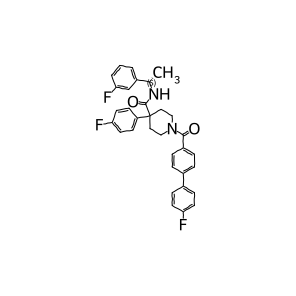 C[C@H](NC(=O)C1(c2ccc(F)cc2)CCN(C(=O)c2ccc(-c3ccc(F)cc3)cc2)CC1)c1cccc(F)c1